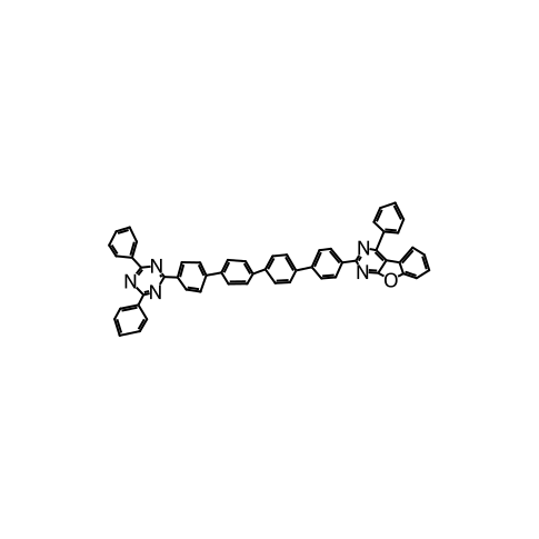 c1ccc(-c2nc(-c3ccccc3)nc(-c3ccc(-c4ccc(-c5ccc(-c6ccc(-c7nc(-c8ccccc8)c8c(n7)oc7ccccc78)cc6)cc5)cc4)cc3)n2)cc1